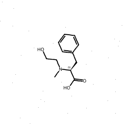 CN(CCO)[C@@H](Cc1ccccc1)C(=O)O